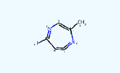 CC1=CN=C(I)C=C=N1